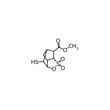 COC(=O)C1C2CC3C(OS(=O)(=O)C31)C2S